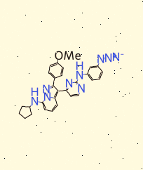 COc1ccc(-c2nn3c(NC4CCCC4)cccc3c2-c2ccnc(Nc3cccc(N=[N+]=[N-])c3)n2)cc1